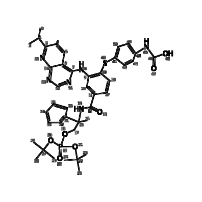 CC(C)c1ccc2c(Nc3cc(C(=O)NC(C)(COP(=O)(OC(C)(C)C)OC(C)(C)C)c4ccccc4)ccc3Sc3ccc(NC(=O)O)cc3)ncnc2n1